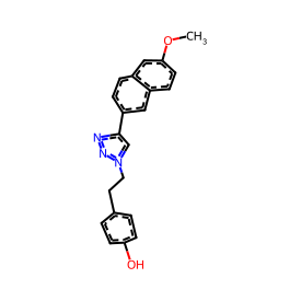 COc1ccc2cc(-c3cn(CCc4ccc(O)cc4)nn3)ccc2c1